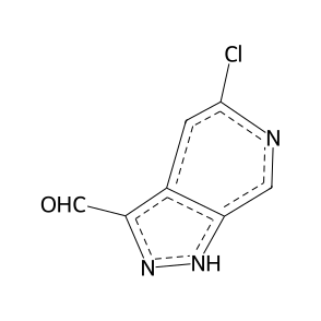 O=Cc1n[nH]c2cnc(Cl)cc12